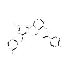 CC(C)(C)c1ccc(C(=O)Nc2cccc(-c3nc(N)nc(Nc4cccc(O)c4)n3)c2CO)cc1